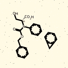 O=C(O)[C@@H](CO)N(C(=O)OCc1ccccc1)c1ccccc1.c1ccc2c(c1)C2